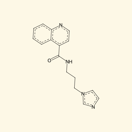 O=C(NCCCn1ccnc1)c1ccnc2ccccc12